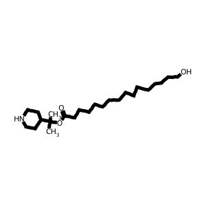 CC(C)(OC(=O)CCCCCCCCCCCCCCCO)C1CCNCC1